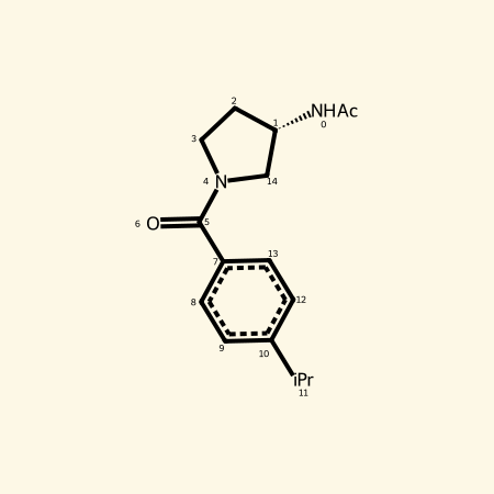 CC(=O)N[C@H]1CCN(C(=O)c2ccc(C(C)C)cc2)C1